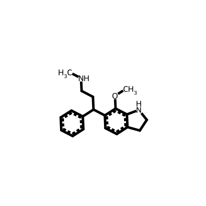 CNCCC(c1ccccc1)c1ccc2c(c1OC)NCC2